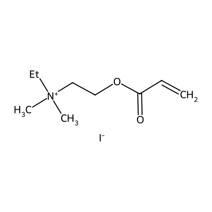 C=CC(=O)OCC[N+](C)(C)CC.[I-]